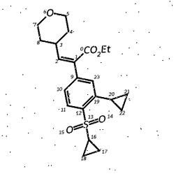 CCOC(=O)/C(=C\C1CCOCC1)c1ccc(S(=O)(=O)C2CC2)c(C2CC2)c1